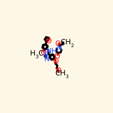 C=CC(=O)N1CCC(Oc2cc3c(Nc4cc(-c5ccco5)ccc4OC)ncnc3cc2OCCCOC)CC1